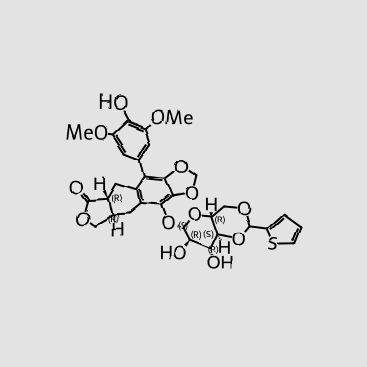 COc1cc(-c2c3c(c(O[C@@H]4O[C@@H]5COC(c6cccs6)O[C@H]5[C@H](O)[C@H]4O)c4c2OCO4)C[C@H]2COC(=O)[C@@H]2C3)cc(OC)c1O